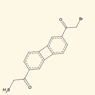 BCC(=O)c1ccc2c(c1)-c1ccc(C(=O)CBr)cc1-2